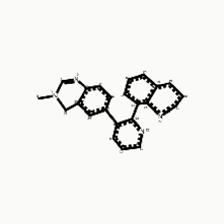 CN1C=Nc2ccc(-c3cccnc3-c3cccc4cccnc34)cc2C1